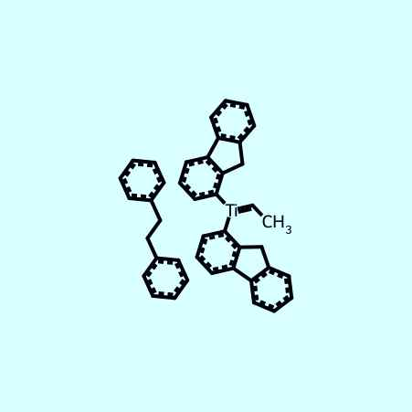 C[CH]=[Ti]([c]1cccc2c1Cc1ccccc1-2)[c]1cccc2c1Cc1ccccc1-2.c1ccc(CCc2ccccc2)cc1